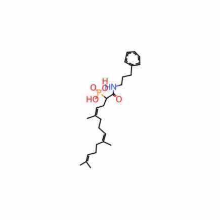 CC(C)=CCCC(C)=CCCC(C)=CCC(C(=O)NCCCc1ccccc1)P(=O)(O)O